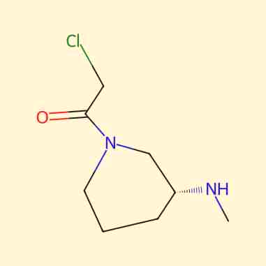 CN[C@@H]1CCCN(C(=O)CCl)C1